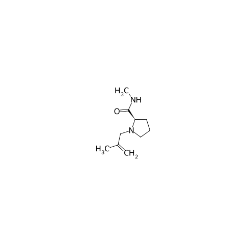 C=C(C)CN1CCC[C@@H]1C(=O)NC